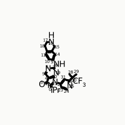 CC(C)n1c(=O)c2cnc(Nc3ccc4c(c3)CNCC4)nc2n1-c1ccnc(C(C)(C)C(F)(F)F)c1